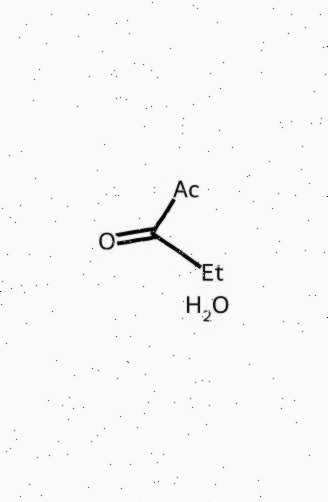 CCC(=O)C(C)=O.O